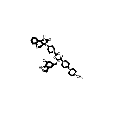 CN1CCN(C2CCN(C(=O)[C@@H](Cc3cc(Cl)c4[nH]ncc4c3)OC(=O)N3CCC(n4c(=O)[nH]c5c6ccccc6ncc54)CC3)CC2)CC1